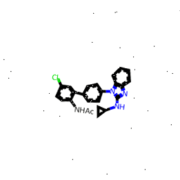 CC(=O)Nc1ccc(Cl)cc1-c1ccc(-n2c(NC3CC3)nc3ccccc32)cc1